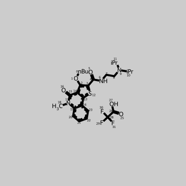 CCCCOc1c(C(=O)NCCN(C(C)C)C(C)C)sc2c1c(=O)n(C)c1ccccc21.O=C(O)C(F)(F)F